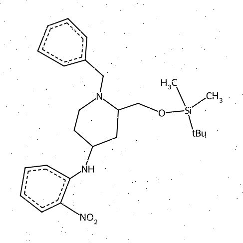 CC(C)(C)[Si](C)(C)OCC1CC(Nc2ccccc2[N+](=O)[O-])CCN1Cc1ccccc1